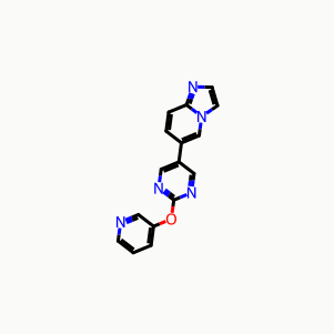 c1cncc(Oc2ncc(-c3ccc4nccn4c3)cn2)c1